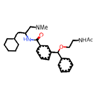 CNCC(CC1CCCCC1)NC(=O)c1cccc(C(OCCNC(C)=O)c2ccccc2)c1